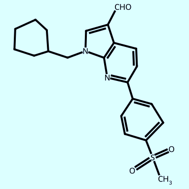 CS(=O)(=O)c1ccc(-c2ccc3c(C=O)cn(CC4CCCCC4)c3n2)cc1